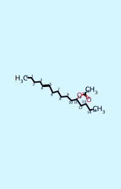 CCCCC=CCCCCCC(CCCC)OC(C)=O